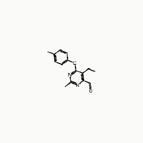 CCc1c(C=O)nc(C)nc1Oc1ccc(C)cc1